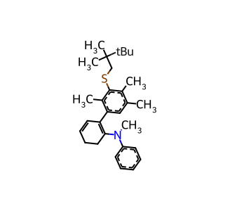 Cc1cc(C2=C(N(C)c3ccccc3)CCC=C2)c(C)c(SCC(C)(C)C(C)(C)C)c1C